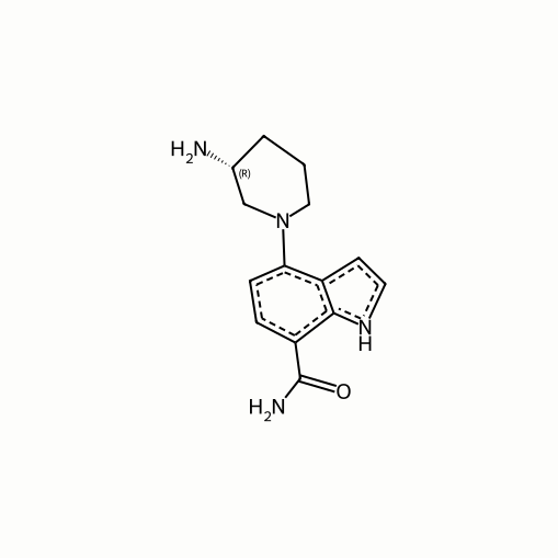 NC(=O)c1ccc(N2CCC[C@@H](N)C2)c2cc[nH]c12